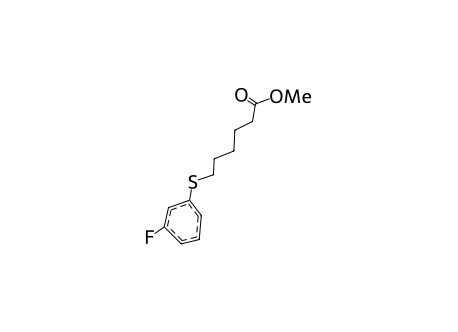 COC(=O)CCCCCSc1cccc(F)c1